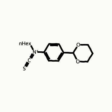 CCCCCC[N+](=C=S)c1ccc(C2OCCCO2)cc1